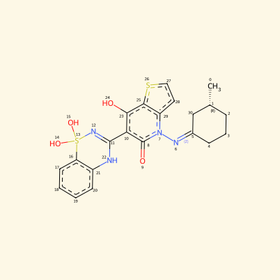 C[C@@H]1CCC/C(=N/n2c(=O)c(C3=NS(O)(O)c4ccccc4N3)c(O)c3sccc32)C1